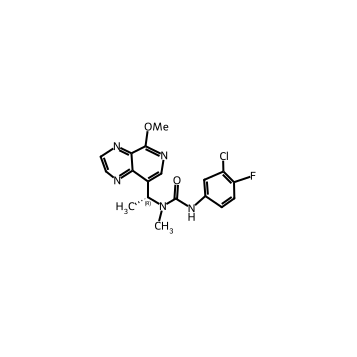 COc1ncc([C@@H](C)N(C)C(=O)Nc2ccc(F)c(Cl)c2)c2nccnc12